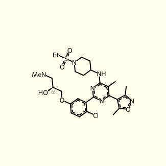 CCS(=O)(=O)N1CCC(Nc2nc(-c3cc(OC[C@@H](O)CNC)ccc3Cl)nc(-c3c(C)noc3C)c2C)CC1